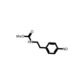 COC(=O)NCCc1ccc(N=O)cc1